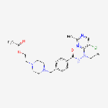 CC(C)CN(NC(=O)c1ccc(CN2CCN(CCOC(=O)C(F)(F)F)CC2)cc1)c1nc(C#N)ncc1Cl